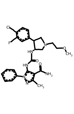 COCCN1CC(c2ccc(Cl)c(F)c2)[C@H](NC(=O)Nc2c(C(N)=O)c(C)nn2-c2ccccc2)C1